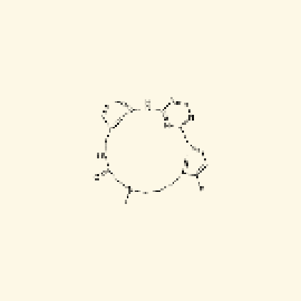 CN1CCCc2cc(ccc2F)-c2ncnc(n2)Nc2cccc(c2)CNC(=O)C1